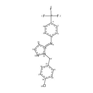 FC(F)(F)c1ccc(/N=c2\scnn2Cc2ccc(Cl)cc2)cc1